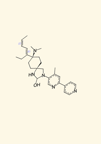 C/C=C\C=C(/CC)[C@]1(N(C)C)CC[C@@]2(CC1)CN(c1cnc(-c3ccncc3)cc1C)C(O)N2